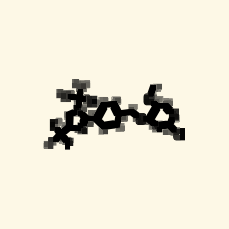 [2H]C([2H])([2H])n1cc(C(F)(F)F)nc1-c1ccc(COc2nc(Cl)ncc2OC)cc1